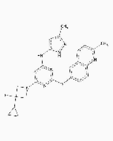 Cc1cc(Nc2cc(N3CC(F)(C4CC4)C3)nc(Sc3ccc4nc(C)ccc4c3)n2)[nH]n1